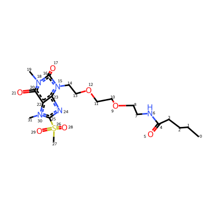 CCCCC(=O)NCCOCCOCCn1c(=O)n(C)c(=O)c2c1nc(S(C)(=O)=O)n2C